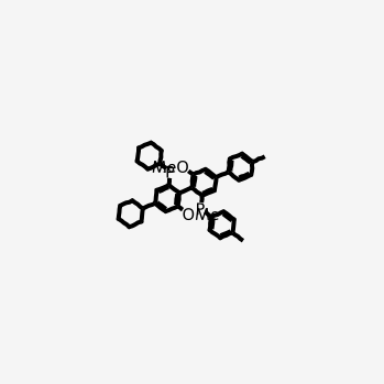 COc1cc(-c2ccc(C)cc2)cc([P]c2ccc(C)cc2)c1-c1c(OC)cc(C2CCCCC2)cc1[P]C1CCCCC1